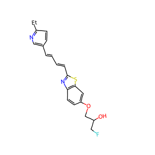 CCc1ccc(/C=C/C=C/c2nc3ccc(OCC(O)CF)cc3s2)cn1